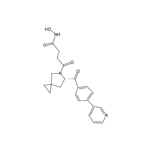 O=C(CCC(=O)N1CC2(CC2)C[C@H]1C(=O)c1ccc(-c2cccnc2)cc1)NO